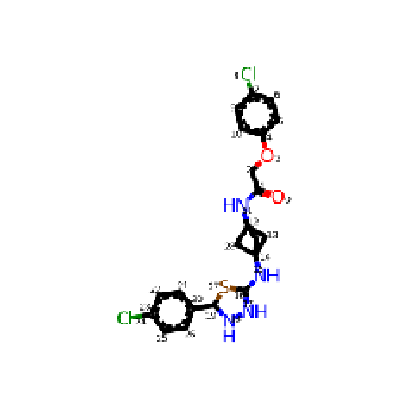 O=C(COc1ccc(Cl)cc1)NC12CC(NC3NNC(c4ccc(Cl)cc4)S3)(C1)C2